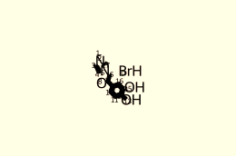 Br.CN1C=CN(CC(=O)c2ccc(O)c(O)c2)C1